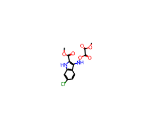 COC(=O)C(=O)ONc1c(C(=O)OC)[nH]c2cc(Cl)ccc12